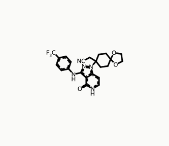 N#CCC1(n2nc(Nc3ccc(C(F)(F)F)cc3)c3c(=O)[nH]ccc32)CCC2(CC1)OCCO2